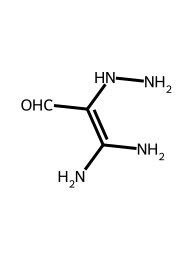 NNC(C=O)=C(N)N